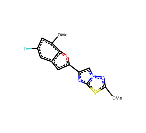 COc1nn2cc(-c3cc4cc(F)cc(OC)c4o3)nc2s1